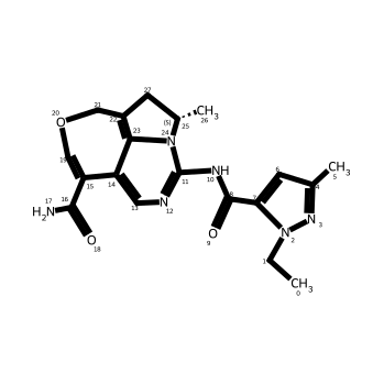 CCn1nc(C)cc1C(=O)NC1=NC=C2C(C(N)=O)=COCC3=C2N1[C@@H](C)C3